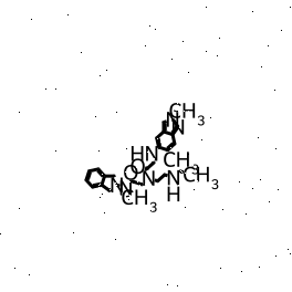 CCNCCN(CC(=O)N(C)N1Cc2ccccc2C1)C(=O)CNc1cc2cn(C)nc2cc1C